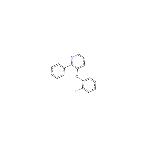 Fc1ccccc1Oc1cccnc1-c1ccccc1